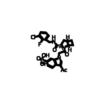 CC(=O)c1cn(CC(=O)N2[C@@H]3CC[C@@H]3C[C@H]2C(=O)NCc2cccc(Cl)c2F)c2cc(P(=O)(O)O)ccc12